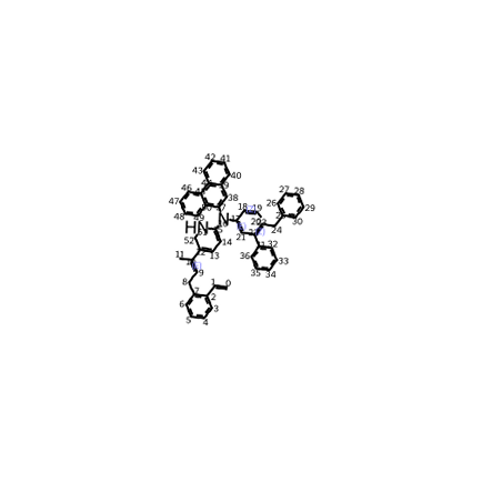 C=Cc1ccccc1C/C=C(\C)C1=CC=C(N(C(/C=C\C)=C/C(=C/Cc2ccccc2)c2ccccc2)c2cc3ccccc3c3ccccc23)NC1